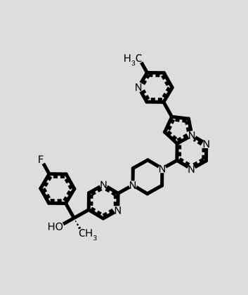 Cc1ccc(-c2cc3c(N4CCN(c5ncc([C@@](C)(O)c6ccc(F)cc6)cn5)CC4)ncnn3c2)cn1